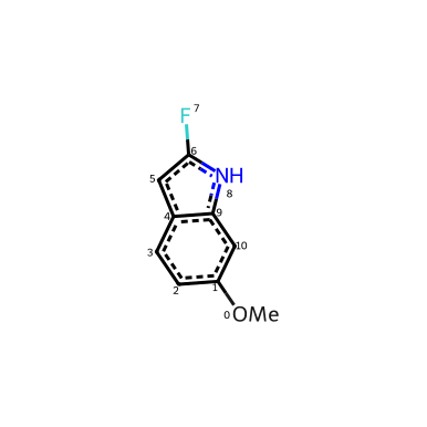 COc1ccc2cc(F)[nH]c2c1